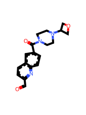 O=Cc1ccc2cc(C(=O)N3CCN(C4COC4)CC3)ccc2n1